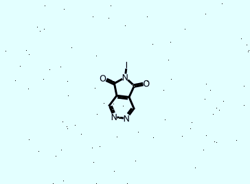 O=C1c2cnncc2C(=O)N1I